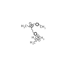 CCCn1c(CCCc2ccc(OC(C)(C)C(=O)OCC)cc2)cn(Cc2ccc(CC)cc2)c1=O